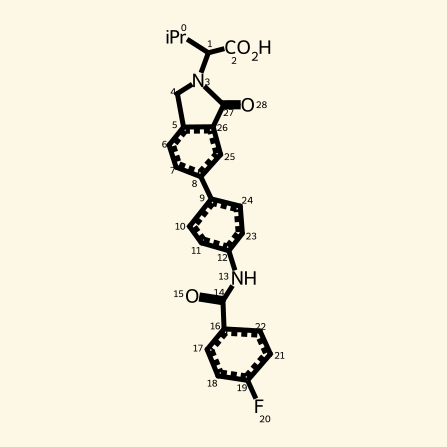 CC(C)C(C(=O)O)N1Cc2ccc(-c3ccc(NC(=O)c4ccc(F)cc4)cc3)cc2C1=O